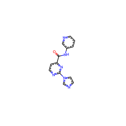 O=C(Nc1cccnc1)c1ccnc(-n2ccnc2)n1